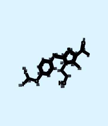 CC(=O)c1sc(=Nc2ccc(OC(F)F)cc2)n(CCO)c1C